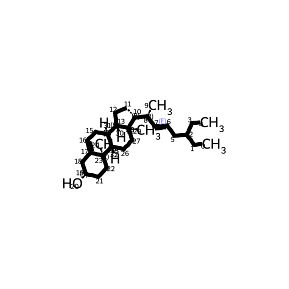 CCC(CC)C/C=C/[C@@H](C)[C@H]1CC[C@H]2[C@@H]3CC=C4C[C@@H](O)CC[C@]4(C)[C@H]3CC[C@]12C